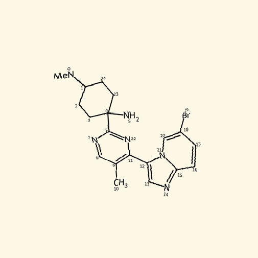 CNC1CCC(N)(c2ncc(C)c(-c3cnc4ccc(Br)cn34)n2)CC1